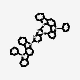 c1ccc(-n2c3cccc4c3c3c2ccc2c5ccccc5n(c23)c2nc3nc(-n5c6ccccc6c6c5ccc5c7ccccc7n(-c7ccccc7)c56)ncc3n42)cc1